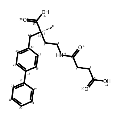 C[C@](CCNC(=O)CCC(=O)O)(Cc1ccc(-c2ccccc2)cc1)C(=O)O